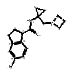 O=C(NC1(CN2CCC2)CC1)C1CCc2cc(Br)ccc21